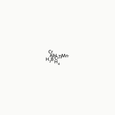 B.C.[AlH3].[Cr].[Mn].[Ti]